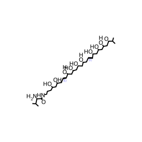 CC(C)C(=O)CC(O)CC(O)CC(O)/C=C/CC(O)CC(O)CC(O)CC(O)/C=C/CC(O)CC(O)CCCNC(=O)C(N)C(C)C